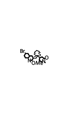 COc1nc2ccc(Br)cc2cc1CC1(c2ccn(C)c(=O)c2)SCCCS1